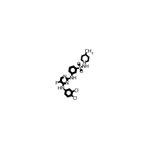 CC1CCN(NS(=O)(=O)c2cccc(Nc3ncc(F)c(Nc4ccc(Cl)c(Cl)c4)n3)c2)CC1